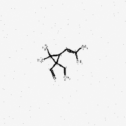 CCC1([C]=O)C(C=C(C)C)C1(C)C